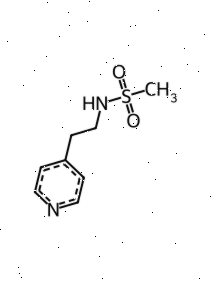 CS(=O)(=O)NCCc1ccncc1